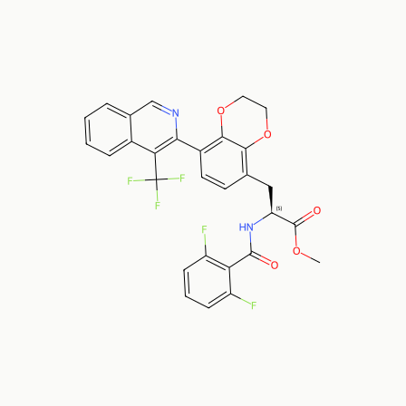 COC(=O)[C@H](Cc1ccc(-c2ncc3ccccc3c2C(F)(F)F)c2c1OCCO2)NC(=O)c1c(F)cccc1F